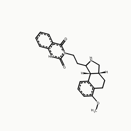 COc1cccc2c1CC[C@H]1CNC(CCn3c(=O)[nH]c4ccccc4c3=O)[C@@H]21